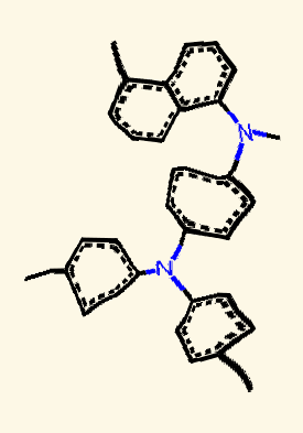 Cc1ccc(N(c2ccc(C)cc2)c2ccc(N(C)c3cccc4c(C)cccc34)cc2)cc1